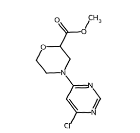 COC(=O)C1CN(c2cc(Cl)ncn2)CCO1